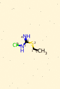 CCSC(=N)NCl